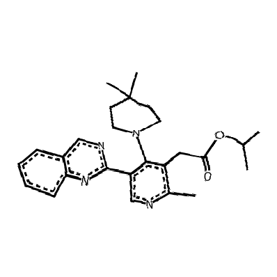 Cc1ncc(-c2ncc3ccccc3n2)c(N2CCC(C)(C)CC2)c1CC(=O)OC(C)C